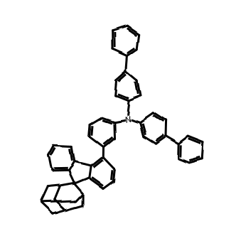 c1ccc(-c2ccc(N(c3ccc(-c4ccccc4)cc3)c3cccc(-c4cccc5c4-c4ccccc4C54C5CC6CC(C5)CC4C6)c3)cc2)cc1